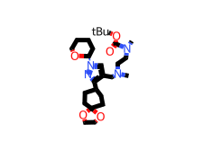 CN(CCN(C)C(=O)OC(C)(C)C)Cc1cn([C@H]2CCCCO2)nc1C1CCC2(CC1)OCCO2